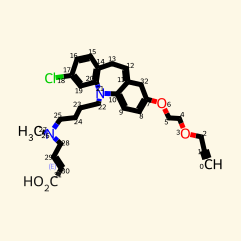 C#CCOCCOC1=CC=C2C(=CCc3ccc(Cl)cc3N2CCCCN(C)C/C=C/C(=O)O)C1